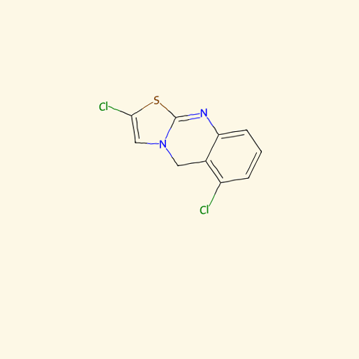 ClC1=CN2Cc3c(Cl)cccc3N=C2S1